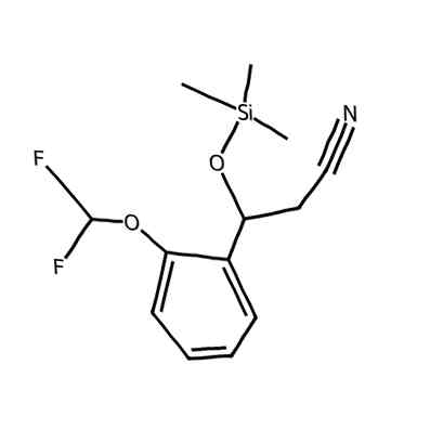 C[Si](C)(C)OC(CC#N)c1ccccc1OC(F)F